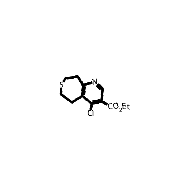 CCOC(=O)c1cnc2c(c1Cl)CCSCC2